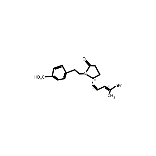 CCC/C(C)=C/C=C\[C@H]1CCC(=O)N1CCc1ccc(C(=O)O)cc1